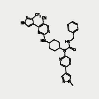 Cn1cc(-c2ccc(N(C(=O)NCc3ccccc3)C3CCC(Nc4ncc(C#N)c(-c5c[nH]nc5C(F)(F)F)n4)CC3)nc2)cn1